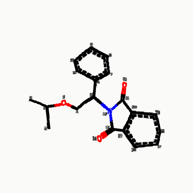 CC(C)OCC(c1ccccc1)N1C(=O)c2ccccc2C1=O